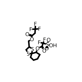 O=C(CC(F)(F)F)OCC1CSC2(CCCCC2OC(=O)C(F)(F)S(=O)(=O)O)S1